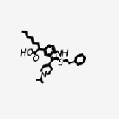 CCCCCCC(C(=O)O)c1ccc2[nH]c(SCCc3ccccc3)c(C3=CCN(C(C)C)CC3)c2c1